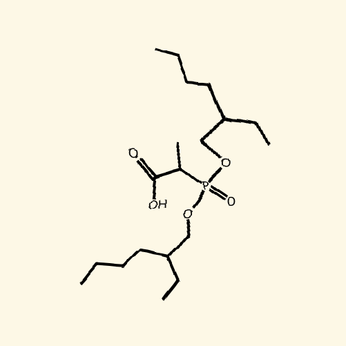 CCCCC(CC)COP(=O)(OCC(CC)CCCC)C(C)C(=O)O